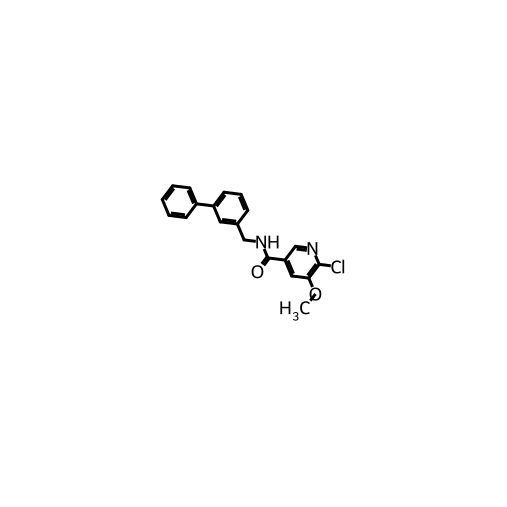 COc1cc(C(=O)NCc2cccc(-c3ccccc3)c2)cnc1Cl